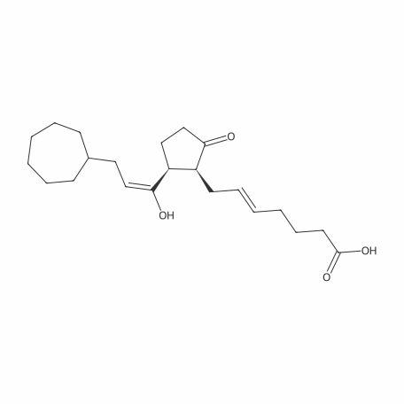 O=C(O)CCCC=CC[C@@H]1C(=O)CC[C@@H]1/C(O)=C\CC1CCCCCC1